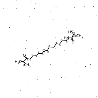 CC(C)C(=O)CCCCCOCCCCCCCNC(=O)C(C)S